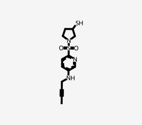 CC#CCNc1ccc(S(=O)(=O)N2CCC(S)C2)nc1